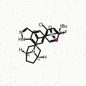 CC(C)(C)NS(=O)(=O)c1cc(N2[C@@H]3CC[C@H]2CN(C(=O)c2ccc(F)cc2Cl)C3)c2[nH]ncc2c1